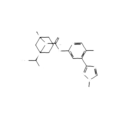 COC(C)[C@@]12C[C@@H](C)C[C@@H](C1)N2C(=O)Nc1cc(-c2ncn(C)n2)c(C(F)(F)F)cn1